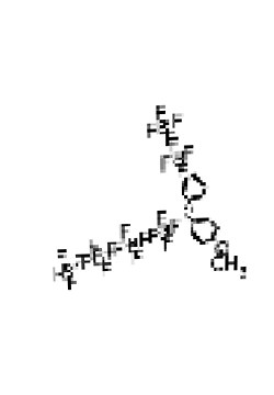 COc1ccc([I+]c2ccccc2)cc1.F[B-](F)(F)F.F[B-](F)(F)F.F[B-](F)(F)F.F[B-](F)(F)F.F[B-](F)(F)F.F[B-](F)(F)F